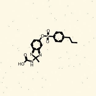 CCCc1ccc(S(=O)(=O)Oc2ccc3c(c2)=NC(C)(NC(=O)O)N=3)cc1